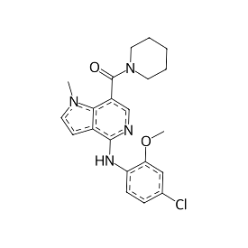 COc1cc(Cl)ccc1Nc1ncc(C(=O)N2CCCCC2)c2c1ccn2C